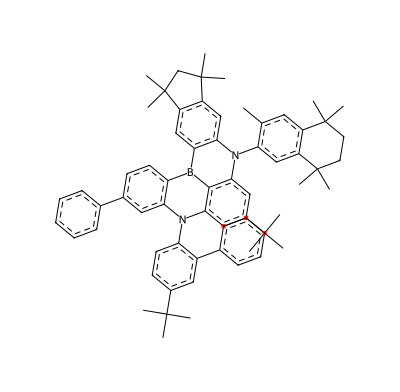 Cc1cc2c(cc1N1c3cc4c(cc3B3c5ccc(-c6ccccc6)cc5N(c5ccc(C(C)(C)C)cc5-c5ccccc5)c5cc(C(C)(C)C)cc1c53)C(C)(C)CC4(C)C)C(C)(C)CCC2(C)C